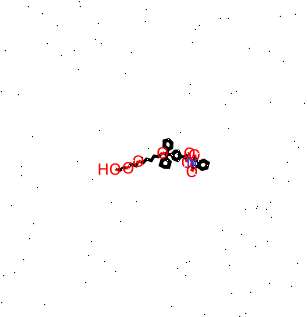 O=C(ON1C(=O)c2ccccc2C1=O)c1ccc(C(OCCCCCOCCOCCO)(c2ccccc2)c2ccccc2)cc1